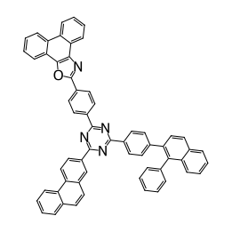 c1ccc(-c2c(-c3ccc(-c4nc(-c5ccc(-c6nc7c8ccccc8c8ccccc8c7o6)cc5)nc(-c5ccc6c(ccc7ccccc76)c5)n4)cc3)ccc3ccccc23)cc1